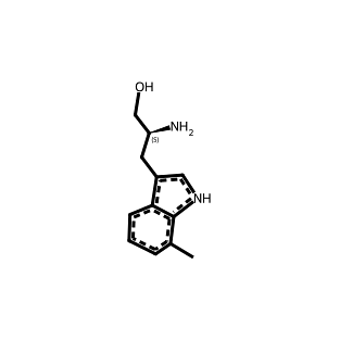 Cc1cccc2c(C[C@H](N)CO)c[nH]c12